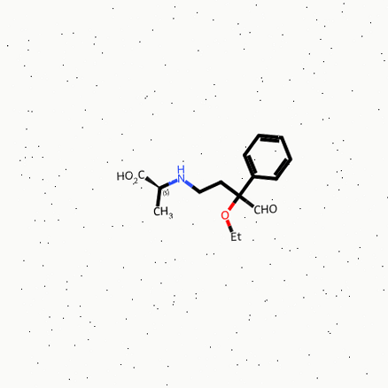 CCOC(C=O)(CCN[C@@H](C)C(=O)O)c1ccccc1